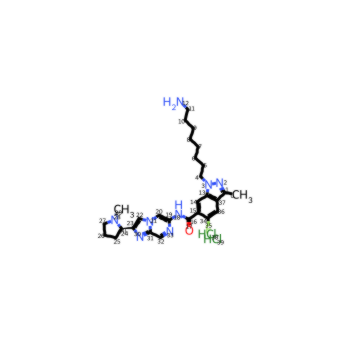 Cc1nn(CCCCCCCCN)c2cc(C(=O)Nc3cn4cc([C@H]5CCCN5C)nc4cn3)c(F)cc12.Cl.Cl